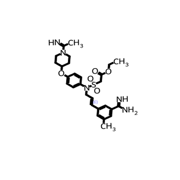 CCOC(=O)CS(=O)(=O)N(C/C=C/c1cc(C)cc(C(=N)N)c1)c1ccc(OC2CCN(C(C)=N)CC2)cc1